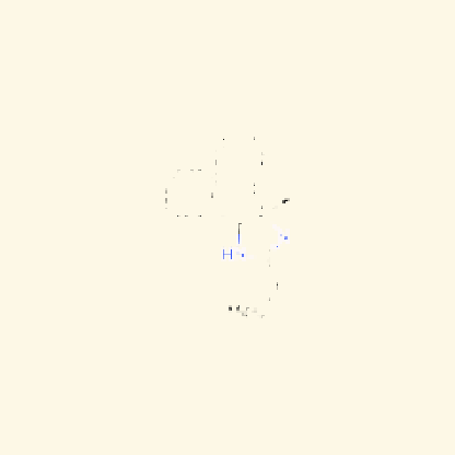 COCC1=N[C@@](C)(c2ccccc2)[C@@H](c2ccccc2)N1